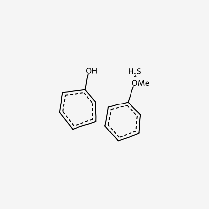 COc1ccccc1.Oc1ccccc1.S